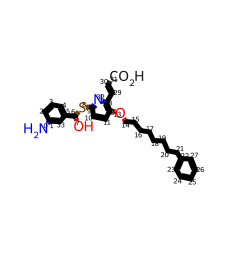 Nc1cccc(C(O)Sc2ccc(OCCCCCCCCc3ccccc3)c(C=CC(=O)O)n2)c1